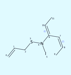 C=CCSN(I)C(/C=C\C)=C/C